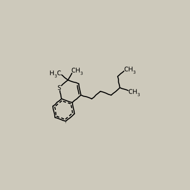 CCC(C)CCCC1=CC(C)(C)Sc2cc[c]cc21